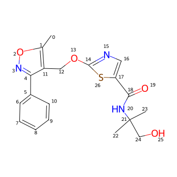 Cc1onc(-c2ccccc2)c1COc1ncc(C(=O)NC(C)(C)CO)s1